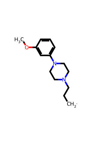 [CH2]CCN1CCN(c2cccc(OC)c2)CC1